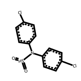 O=[SH](=O)N(c1ccc(Cl)cc1)c1ccc(Cl)cc1